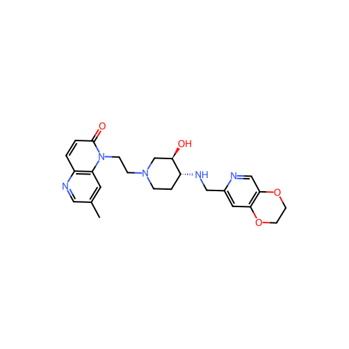 Cc1cnc2ccc(=O)n(CCN3CC[C@@H](NCc4cc5c(cn4)OCCO5)[C@H](O)C3)c2c1